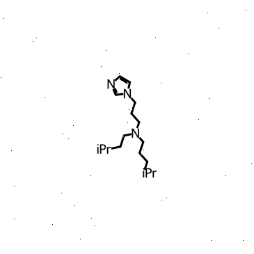 CC(C)CCCN(CCCn1ccnc1)CCC(C)C